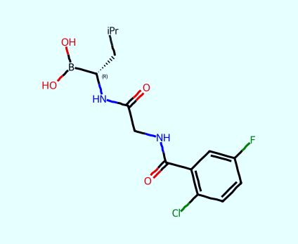 CC(C)C[C@H](NC(=O)CNC(=O)c1cc(F)ccc1Cl)B(O)O